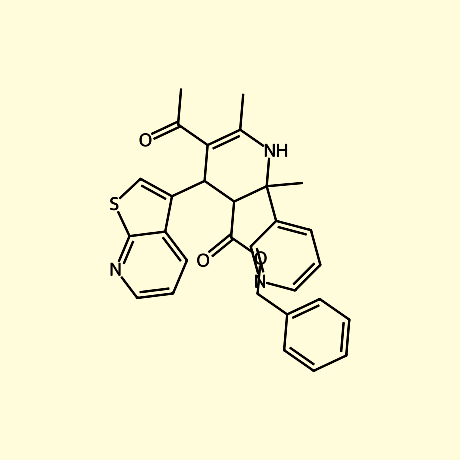 CC(=O)C1=C(C)NC(C)(c2cccnc2)C(C(=O)OCc2ccccc2)C1c1csc2ncccc12